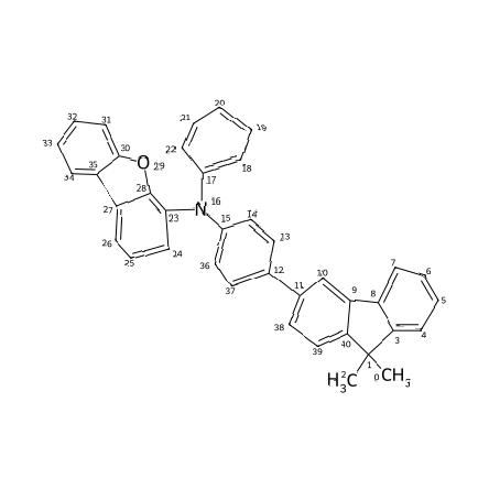 CC1(C)c2ccccc2-c2cc(-c3ccc(N(c4ccccc4)c4cccc5c4oc4ccccc45)cc3)ccc21